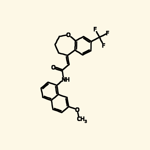 COc1ccc2cccc(NC(=O)C=C3CCCOc4cc(C(F)(F)F)ccc43)c2c1